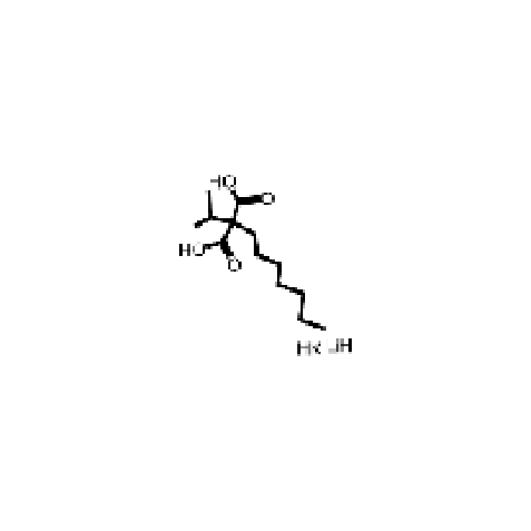 CCCCCCCC(C(=O)O)(C(=O)O)C(C)C.[KH].[LiH]